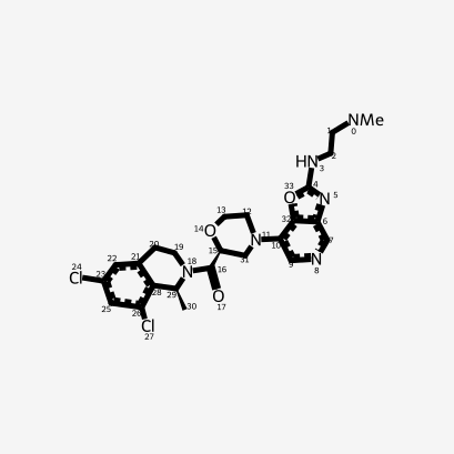 CNCCNc1nc2cncc(N3CCO[C@H](C(=O)N4CCc5cc(Cl)cc(Cl)c5[C@@H]4C)C3)c2o1